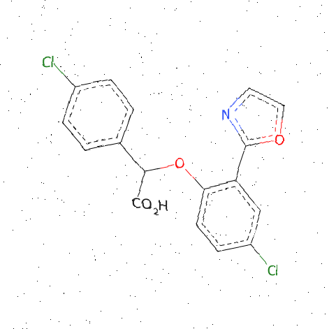 O=C(O)C(Oc1ccc(Cl)cc1-c1ncco1)c1ccc(Cl)cc1